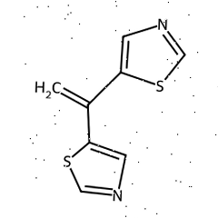 C=C(c1cncs1)c1cncs1